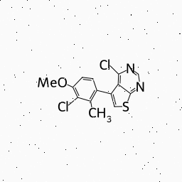 COc1ccc(-c2csc3ncnc(Cl)c23)c(C)c1Cl